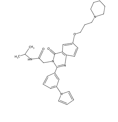 CC(C)NC(=O)Cn1c(-c2cccc(-n3cccc3)c2)nc2ccc(OCCCN3CCCCC3)cc2c1=O